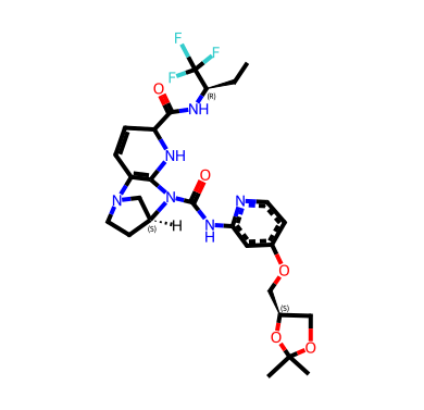 CC[C@@H](NC(=O)C1C=CC2=C(N1)N(C(=O)Nc1cc(OC[C@H]3COC(C)(C)O3)ccn1)[C@H]1CCN2C1)C(F)(F)F